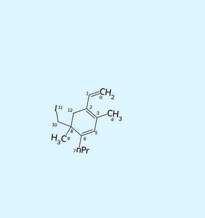 C=CC1=C(C)C=C(CCC)C(C)(CI)C1